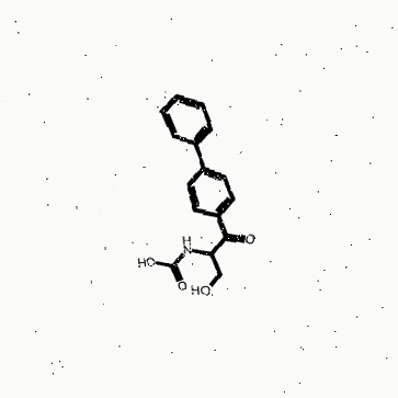 O=C(O)NC(CO)C(=O)c1ccc(-c2ccccc2)cc1